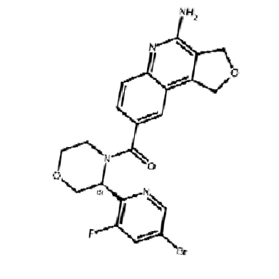 Nc1nc2ccc(C(=O)N3CCOC[C@@H]3c3ncc(Br)cc3F)cc2c2c1COC2